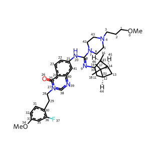 COCCCN1CCN(C(=NC2C[C@@H]3C[C@H]([C@@H]2C)C3(C)C)Nc2ccc3c(=O)n(CCc4ccc(OC)cc4F)cnc3c2)CC1